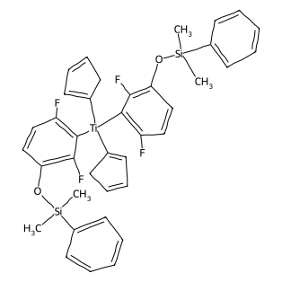 C[Si](C)(Oc1ccc(F)[c]([Ti]([C]2=CC=CC2)([C]2=CC=CC2)[c]2c(F)ccc(O[Si](C)(C)c3ccccc3)c2F)c1F)c1ccccc1